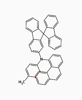 Cc1ccc(N(c2ccc3c(c2)C2(c4ccccc4-c4ccccc42)c2ccccc2-3)c2cccc3ccc4ccccc4c23)cc1